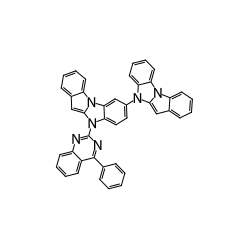 c1ccc(-c2nc(-n3c4ccc(-n5c6ccccc6n6c7ccccc7cc56)cc4n4c5ccccc5cc34)nc3ccccc23)cc1